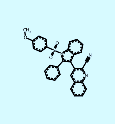 COc1ccc(S(=O)(=O)n2c(-c3ccccc3)c(-c3cc4ccccc4nc3C#N)c3ccccc32)cc1